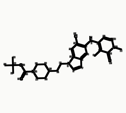 Cc1c(Nc2cc3ccn(CCC4CCN(C(=O)OC(C)(C)C)CC4)c3cc2Cl)cnn(C)c1=O